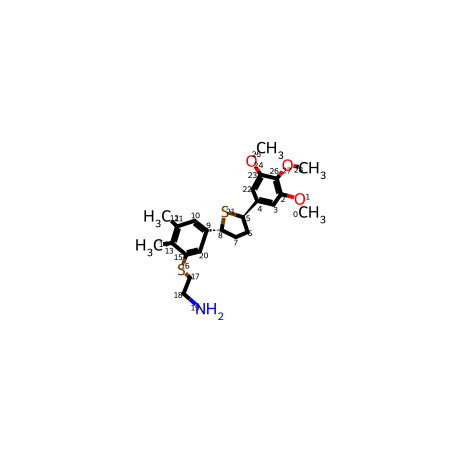 COc1cc([C@H]2CC[C@H](c3cc(C)c(C)c(SCCN)c3)S2)cc(OC)c1OC